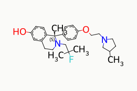 CC1CCN(CCOc2ccc([C@@]3(C)c4ccc(O)cc4CCN3CC(C)(C)F)cc2)C1